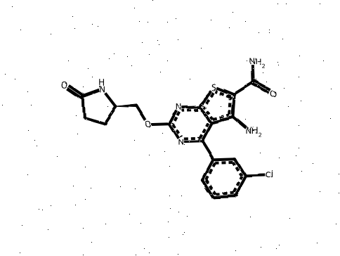 NC(=O)c1sc2nc(OC[C@H]3CCC(=O)N3)nc(-c3cccc(Cl)c3)c2c1N